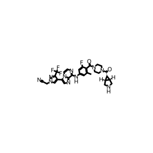 Cc1cc(Nc2nccn3c(-c4cn(CC#N)nc4C(F)(F)F)cnc23)cc(F)c1C(=O)N1CCN(C(=O)[C@@H]2[C@@H]3CNC[C@@H]32)CC1